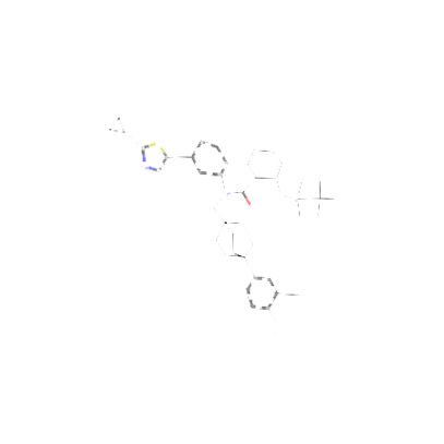 COc1ccc(C23CCC(CN(C(=O)C4CCCCC4O[Si](C)(C)C(C)(C)C)c4cccc(-c5cnc(C6CC6)s5)c4)(CC2)CC3)cc1C